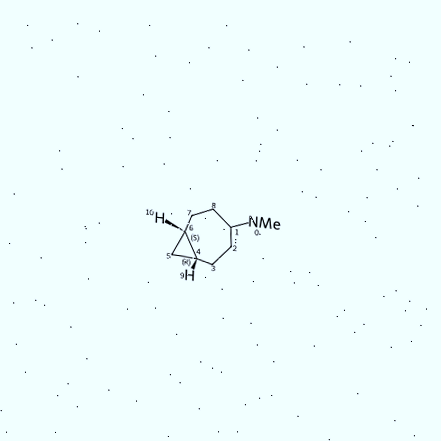 CNC1CC[C@@H]2C[C@@H]2CC1